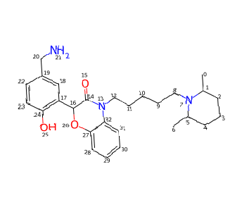 CC1CCCC(C)N1CCCCCN1C(=O)C(c2cc(CN)ccc2O)Oc2ccccc21